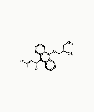 CCC(C)COc1c2ccccc2c(N([O])C=[NH+][O-])c2ccccc12